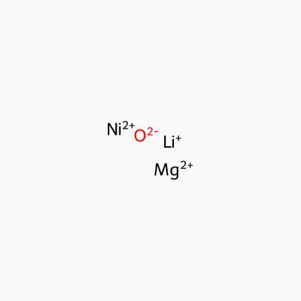 [Li+].[Mg+2].[Ni+2].[O-2]